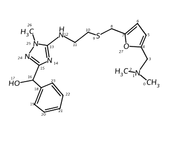 CN(C)Cc1ccc(CSCCNc2nc(C(O)c3ccccc3)nn2C)o1